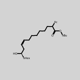 CCCCCC[C@@H](O)C/C=C\CCCCCCC(C(C)=O)C(=O)OCCCC